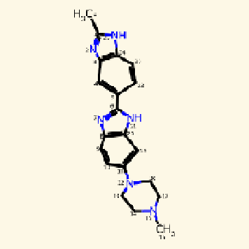 Cc1nc2cc(-c3nc4ccc(N5CCN(C)CC5)cc4[nH]3)ccc2[nH]1